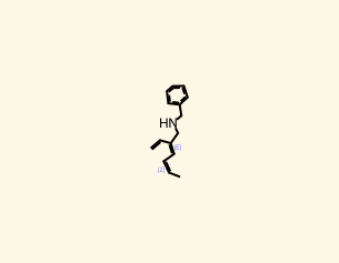 C=C/C(=C\C=C/C)CNCc1ccccc1